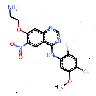 COc1cc(Nc2ncnc3cc(OCCN)c([N+](=O)[O-])cc23)c(F)cc1Cl